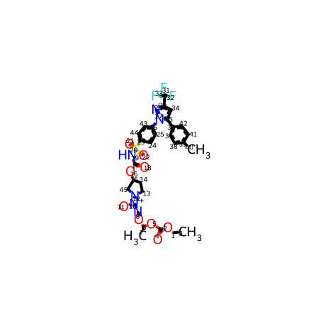 CCOC(=O)OC(C)O/N=[N+](\[O-])N1CCC(OC(=O)NS(=O)(=O)c2ccc(-n3nc(C(F)(F)F)cc3-c3ccc(C)cc3)cc2)C1